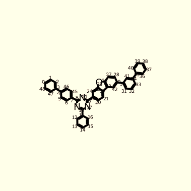 c1ccc(-c2ccc(-c3nc(-c4ccccc4)nc(-c4ccc5c(c4)oc4ccc(-c6cccc(-c7ccccc7)c6)cc45)n3)cc2)cc1